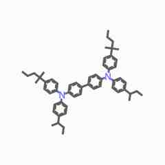 CCCC(C)(C)c1ccc(N(c2ccc(-c3ccc(N(c4ccc(C(C)CC)cc4)c4ccc(C(C)(C)CCC)cc4)cc3)cc2)c2ccc(C(C)CC)cc2)cc1